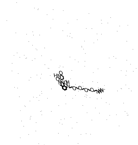 [N-]=[N+]=NCCOCCOCCOCCOCCNc1cccc2cnn(C3CCC(=O)NC3=O)c(=O)c12